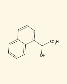 O=S(=O)(O)C(O)c1cccc2ccccc12